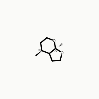 C[C@H]1CCO[C@H]2OCCC21